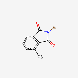 Cc1cccc2c1C(=O)N(Br)C2=O